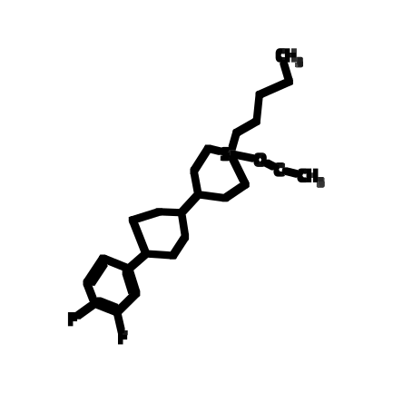 CCCCC[Si]1(OCC)CCC(C2CCC(c3ccc(F)c(F)c3)CC2)CC1